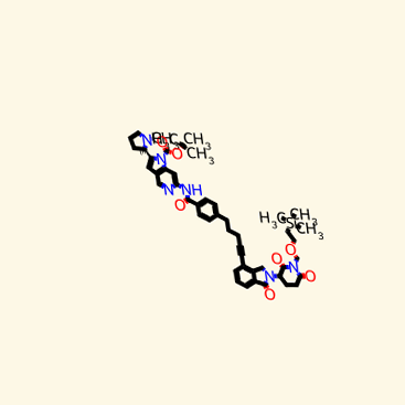 CN1CCC[C@@H]1c1cc2cnc(NC(=O)c3ccc(CCCC#Cc4cccc5c4CN(C4CCC(=O)N(COCC[Si](C)(C)C)C4=O)C5=O)cc3)cc2n1C(=O)OC(C)(C)C